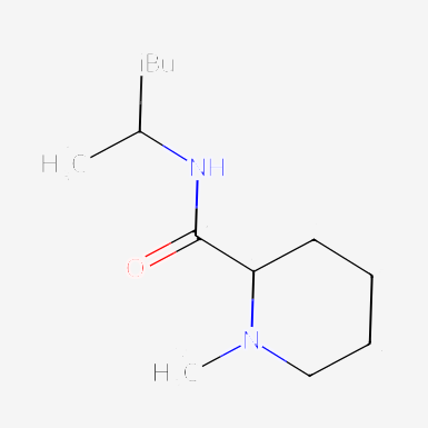 CCC(C)C(C)NC(=O)C1CCCCN1C